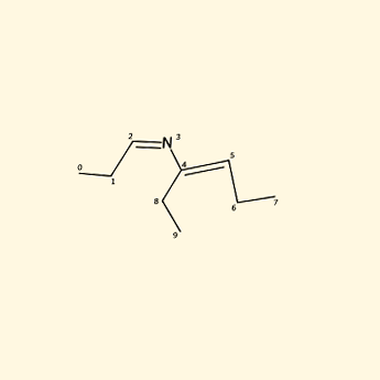 CC/C=N\C(=C\CC)CC